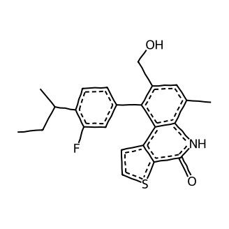 CCC(C)c1ccc(-c2c(CO)cc(C)c3[nH]c(=O)c4sccc4c23)cc1F